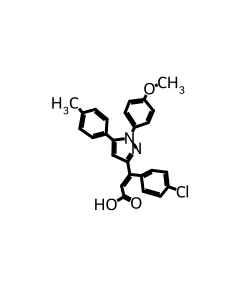 COc1ccc(-n2nc(C(=CC(=O)O)c3ccc(Cl)cc3)cc2-c2ccc(C)cc2)cc1